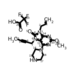 C=CCn1c(=O)n(CC#CC)c2c(N3CCNCC3)nc(OC)nc21.O=C(O)C(F)(F)F